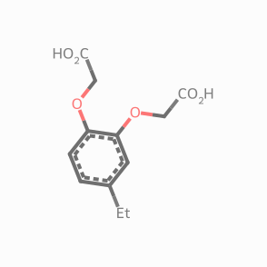 CCc1ccc(OCC(=O)O)c(OCC(=O)O)c1